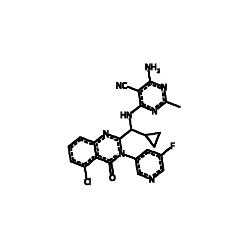 Cc1nc(N)c(C#N)c(NC(c2nc3cccc(Cl)c3c(=O)n2-c2cncc(F)c2)C2CC2)n1